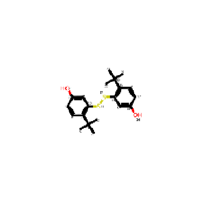 CC(C)(C)c1ccc(O)cc1SSc1cc(O)ccc1C(C)(C)C